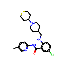 Cc1ccc(NC(=O)c2cc(Cl)ccc2NCC2CCN(C3CCSCC3)CC2)nc1